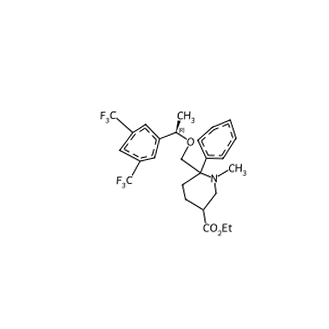 CCOC(=O)C1CCC(CO[C@H](C)c2cc(C(F)(F)F)cc(C(F)(F)F)c2)(c2ccccc2)N(C)C1